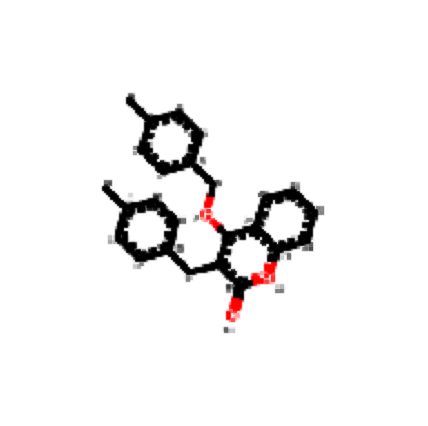 Cc1ccc(COc2c(Cc3ccc(C)cc3)c(=O)oc3ccccc23)cc1